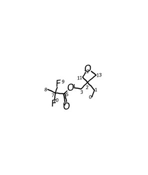 CCC1(COC(=O)C(C)(F)F)COC1